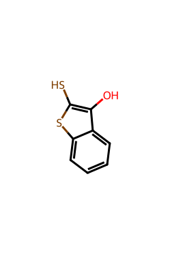 Oc1c(S)sc2ccccc12